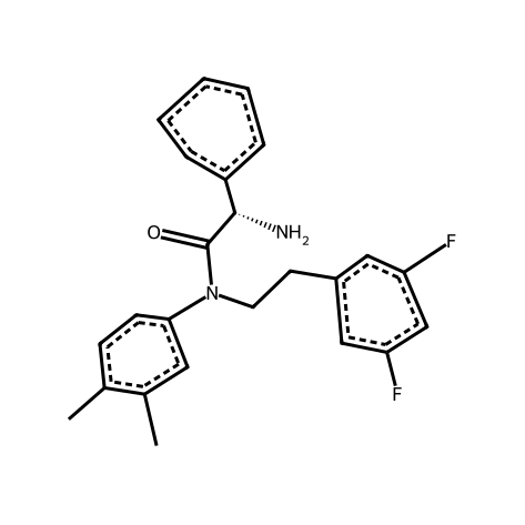 Cc1ccc(N(CCc2cc(F)cc(F)c2)C(=O)[C@@H](N)c2ccccc2)cc1C